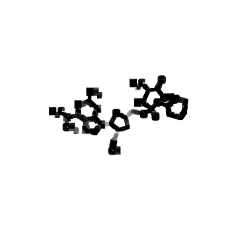 C#C[C@H]1C[C@@H](CO[P@](=O)(N[C@@H](C)C(=O)OC)Oc2ccccc2)O[C@H]1n1cnc2c(N(C)C)nc(N)nc21